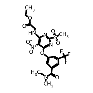 CCOC(=O)CNc1nc(S(C)(=O)=O)nc(Oc2cc(C(=O)N(C)C)cc(C(F)(F)F)c2)c1[N+](=O)[O-]